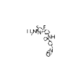 CC1(c2cc(NC(=O)c3ccc(CN4CCOCC4)cc3)ccc2F)CCSC(N)=N1